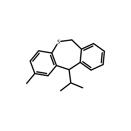 Cc1ccc2c(c1)C(C(C)C)c1ccccc1CS2